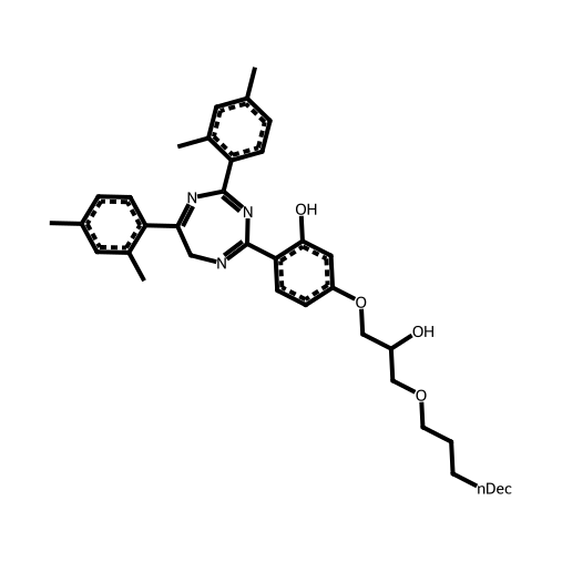 CCCCCCCCCCCCCOCC(O)COc1ccc(C2=NCC(c3ccc(C)cc3C)=NC(c3ccc(C)cc3C)=N2)c(O)c1